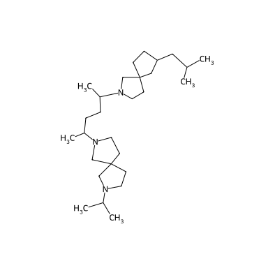 CC(C)CC1CCC2(CCN(C(C)CCC(C)N3CCC4(CCN(C(C)C)C4)C3)C2)C1